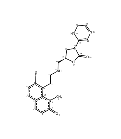 Cn1c(=O)ccc2ccc(F)c(CCNC[C@H]3CN(C4=CN=CCN4)C(=O)O3)c21